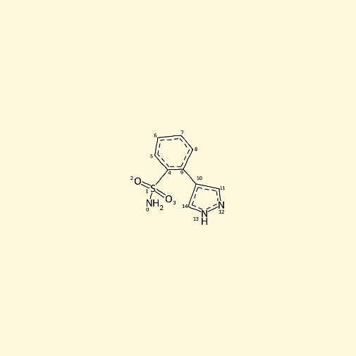 NS(=O)(=O)c1ccccc1-c1cn[nH]c1